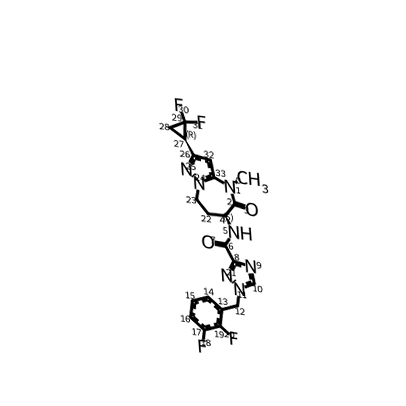 CN1C(=O)[C@@H](NC(=O)c2ncn(Cc3cccc(F)c3F)n2)CCn2nc([C@H]3CC3(F)F)cc21